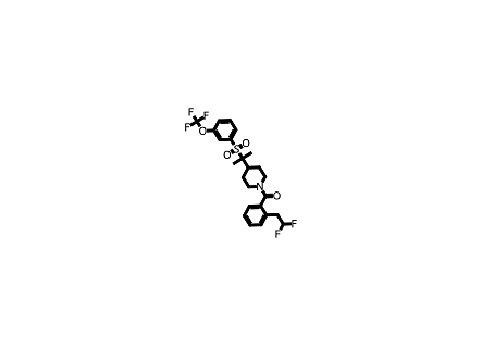 CC(C)(C1CCN(C(=O)c2ccccc2CC(F)F)CC1)S(=O)(=O)c1cccc(OC(F)(F)F)c1